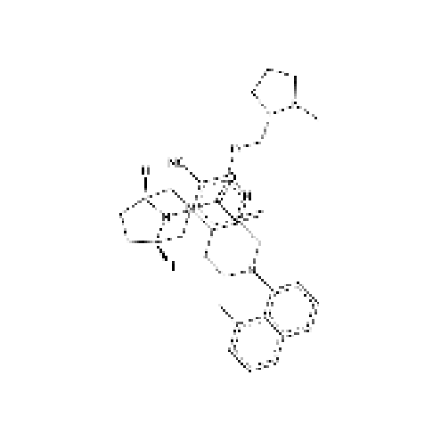 C=CC(=O)N1C[C@H]2CC[C@@H](C1)N2c1c(C#N)c(OC[C@@H]2CCCN2C)nc2c1CCN(c1cccc3cccc(C)c13)C2